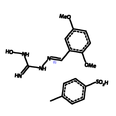 COc1ccc(OC)c(/C=N/NC(=N)NO)c1.Cc1ccc(S(=O)(=O)O)cc1